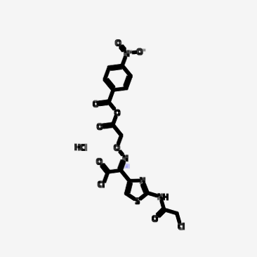 Cl.O=C(CCl)Nc1nc(/C(=N/OCC(=O)OC(=O)c2ccc([N+](=O)[O-])cc2)C(=O)Cl)cs1